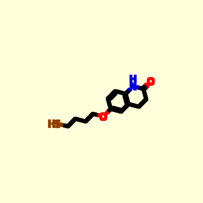 O=C1CCc2cc(OCCCCS)ccc2N1